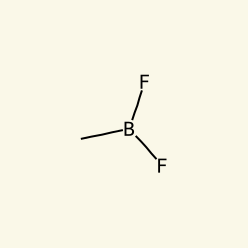 CB(F)F